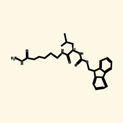 CC(C)C[C@@H](NC(=O)OCC1c2ccccc2-c2ccccc21)C(=O)NCCCCCC(=O)NN